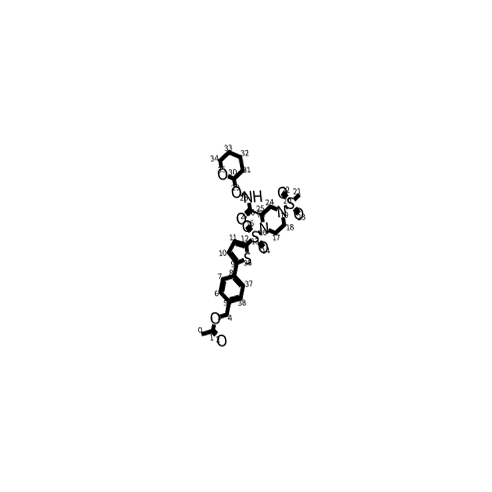 CC(=O)OCc1ccc(-c2ccc(S(=O)(=O)N3CCN(S(C)(=O)=O)C[C@@H]3C(=O)NOC3CCCCO3)s2)cc1